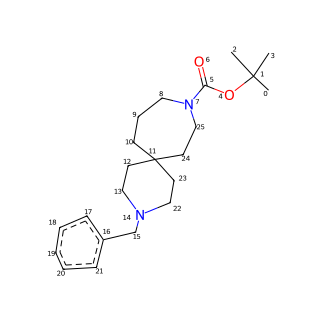 CC(C)(C)OC(=O)N1CCCC2(CCN(Cc3ccccc3)CC2)CC1